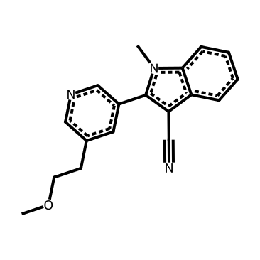 COCCc1cncc(-c2c(C#N)c3ccccc3n2C)c1